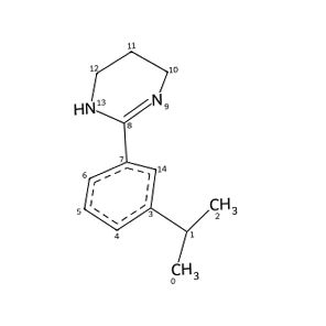 CC(C)c1cccc(C2=NCCCN2)c1